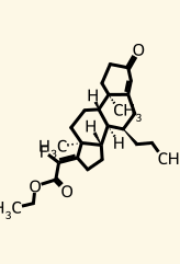 CCC[C@@H]1CC2=CC(=O)CC[C@]2(C)[C@H]2CC[C@]3(C)C(=C(F)C(=O)OCC)CC[C@H]3[C@H]12